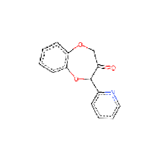 O=C1COc2ccccc2OC1c1ccccn1